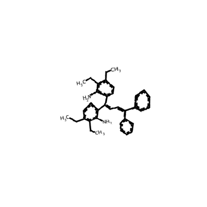 CCc1ccc(C(=CC=C(c2ccccc2)c2ccccc2)c2ccc(CC)c(CC)c2N)c(N)c1CC